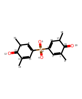 CC1=CC(S(=O)(=O)C2=CC(C)C(=O)C(C)=C2)=CC(C)C1=O